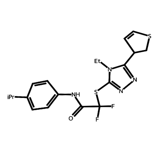 CCn1c(SC(F)(F)C(=O)Nc2ccc(C(C)C)cc2)nnc1C1C=CSC1